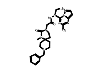 CN1C(=O)N(CC(=O)NN(CC(C)(C)C)c2nc(C#N)nc3ccnn23)CCC12CCN(Cc1ccccc1)CC2